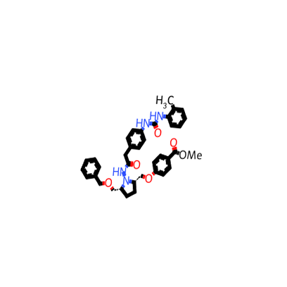 COC(=O)c1ccc(OC[C@@H]2CC[C@H](COCc3ccccc3)N2NC(=O)Cc2ccc(NC(=O)Nc3ccccc3C)cc2)cc1